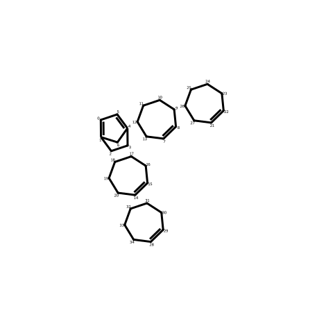 C1=C2CCC(=C1)C2.C1=CCCCCC1.C1=CCCCCC1.C1=CCCCCC1.C1=CCCCCC1